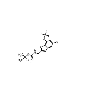 CC(C)(C)OC(=O)NCc1cc2cc(Br)cc(OC(F)(F)F)c2o1